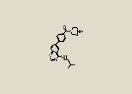 CC(C)CCNc1ncnc2ccc(-c3ccc(C(=O)N4CCNCC4)cc3)cc12